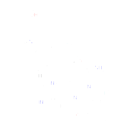 COc1cccc(F)c1-c1ncc(-c2cc(F)c(-c3ccc(CO)nc3)cc2N2C[C@@H]3C[C@H]2CN3)c(C(N)=O)n1